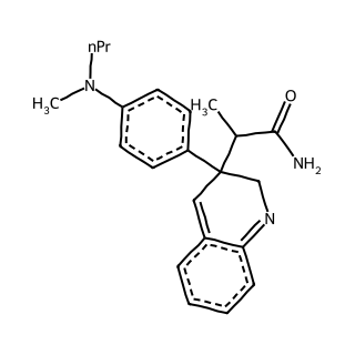 CCCN(C)c1ccc(C2(C(C)C(N)=O)C=c3ccccc3=NC2)cc1